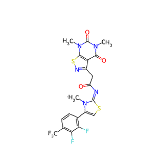 [CH2]n1c(-c2ccc(C(F)(F)F)c(F)c2F)csc1=NC(=O)Cc1nsc2c1c(=O)n(C)c(=O)n2C